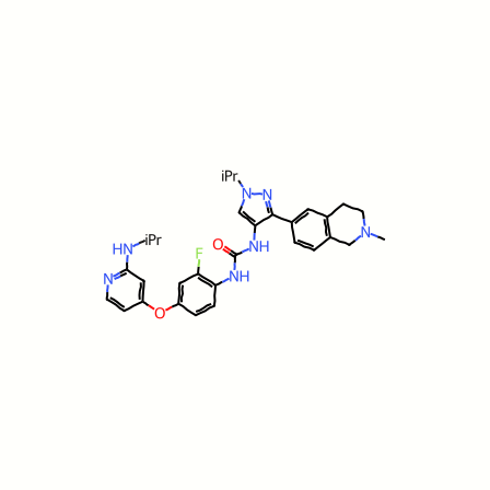 CC(C)Nc1cc(Oc2ccc(NC(=O)Nc3cn(C(C)C)nc3-c3ccc4c(c3)CCN(C)C4)c(F)c2)ccn1